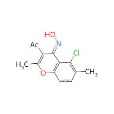 CC(=O)c1c(C)oc2ccc(C)c(Cl)c2c1=NO